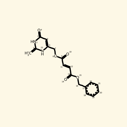 C=C1NC(=O)C=C(COC(=O)/C=C/C(=O)OCc2ccccc2)N1